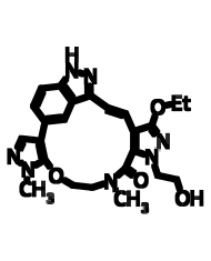 CCOc1nn(CCO)c2c1/C=C/c1n[nH]c3ccc(cc13)-c1cnn(C)c1OCCN(C)C2=O